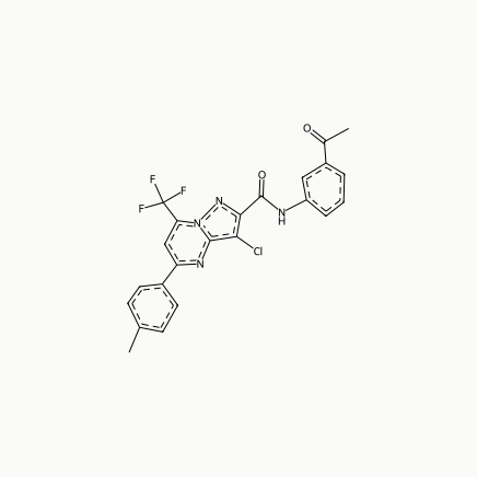 CC(=O)c1cccc(NC(=O)c2nn3c(C(F)(F)F)cc(-c4ccc(C)cc4)nc3c2Cl)c1